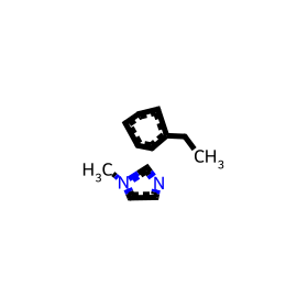 CCc1ccccc1.Cn1ccnc1